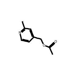 [CH2]c1cc(COC(C)=O)ccn1